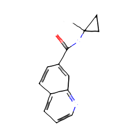 CC(C)(C)C1(NC(=O)c2ccc3cccnc3c2)CC1